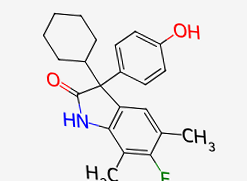 Cc1cc2c(c(C)c1F)NC(=O)C2(c1ccc(O)cc1)C1CCCCC1